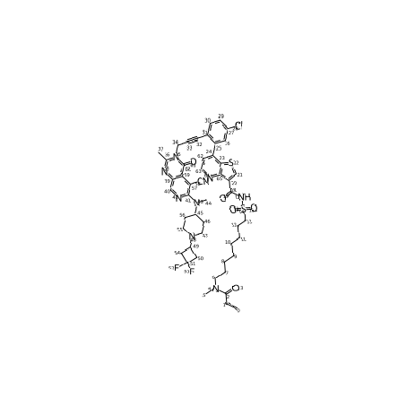 C=CC(=O)N(C)CCCCCCCCS(=O)(=O)NC(=O)c1csc2c(-c3cc(Cl)ccc3C#CCn3c(C)nc4cnc(N(C)C5CCN(C6CC(F)(F)C6)CC5)c(C#N)c4c3=O)ccnc12